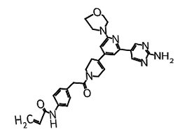 C=CC(=O)Nc1ccc(CC(=O)N2CC=C(c3cc(-c4cnc(N)nc4)nc(N4CCOCC4)c3)CC2)cc1